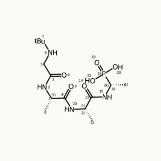 C[C@H](NC(=O)CNC(C)(C)C)C(=O)N[C@@H](C)C(=O)N[C@@H](C)P(=O)(O)O